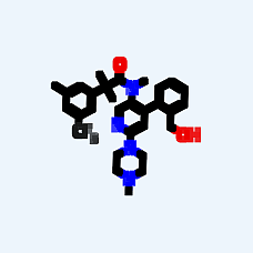 Cc1cc(C(F)(F)F)cc(C(C)(C)C(=O)N(C)c2cnc(N3CCN(C)CC3)cc2-c2ccccc2CO)c1